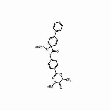 CCCCCCCOC1(C(=O)Oc2ccc(C(=O)OC(C(=O)OCCCC)C(F)(F)F)cc2)C=CC(c2ccccc2)=CC1